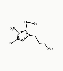 CCNc1c([N+](=O)[O-])c(Br)nn1CCCOC